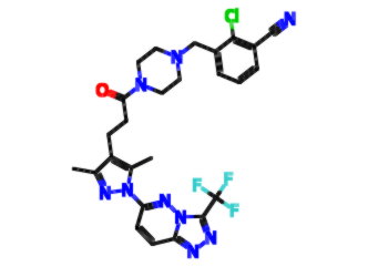 Cc1nn(-c2ccc3nnc(C(F)(F)F)n3n2)c(C)c1CCC(=O)N1CCN(Cc2cccc(C#N)c2Cl)CC1